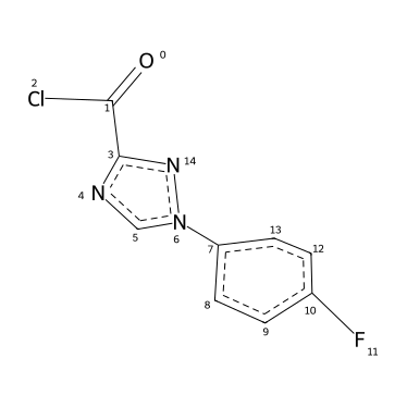 O=C(Cl)c1ncn(-c2ccc(F)cc2)n1